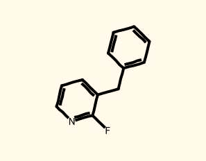 Fc1ncccc1Cc1ccccc1